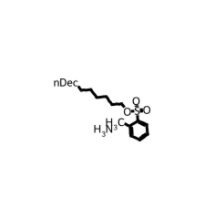 CCCCCCCCCCCCCCCCOS(=O)(=O)c1ccccc1C.N